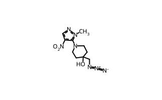 Cn1ncc([N+](=O)[O-])c1N1CCC(O)(CN=[N+]=[N-])CC1